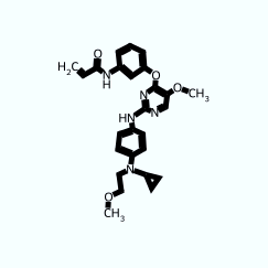 C=CC(=O)Nc1cccc(Oc2nc(Nc3ccc(N(CCOC)C4CC4)cc3)ncc2OC)c1